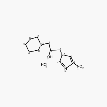 Cl.O=[N+]([O-])c1cn(CC(O)CN2CCCCC2)nn1